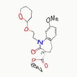 COc1ccc2c(c1)N(CCOC1CCCCO1)C(=O)[C@@H](C(=O)OC(C)(C)C)CC2